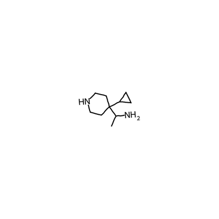 CC(N)C1(C2CC2)CCNCC1